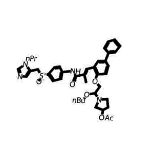 CCCCOC(COc1ccc(-c2ccccc2)cc1/C=C(\C)C(=O)Nc1ccc([S+]([O-])Cc2cncn2CCC)cc1)N1CCC(OC(C)=O)C1